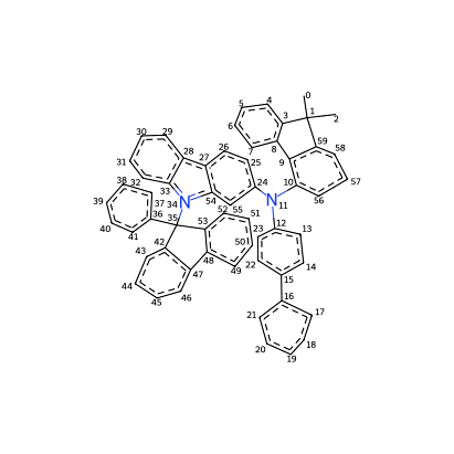 CC1(C)c2ccccc2-c2c(N(c3ccc(-c4ccccc4)cc3)c3ccc4c5ccccc5n(C5(c6ccccc6)c6ccccc6-c6ccccc65)c4c3)cccc21